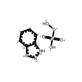 O=S(=O)(O)OO.c1ccc2[nH]nnc2c1